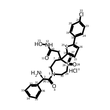 Cl.N[C@@H](C(=O)N1CCC(CC(=O)NO)(c2ccc(-c3ccc(Cl)cc3)s2)S(=O)(=O)CC1)c1ccccc1